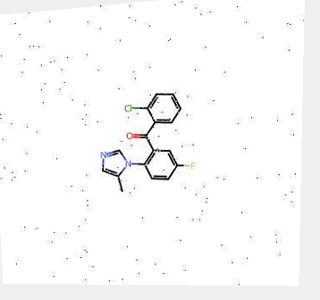 Cc1cncn1-c1ccc(F)cc1C(=O)c1ccccc1Cl